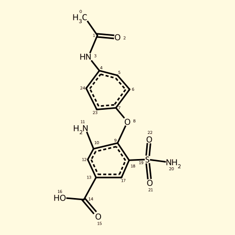 CC(=O)Nc1ccc(Oc2c(N)cc(C(=O)O)cc2S(N)(=O)=O)cc1